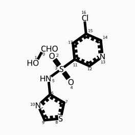 O=CO.O=S(=O)(Nc1cscn1)c1cncc(Cl)c1